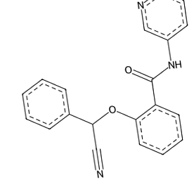 N#CC(Oc1ccccc1C(=O)Nc1cccnc1)c1ccccc1